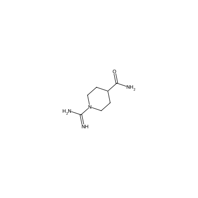 N=C(N)N1CCC(C(N)=O)CC1